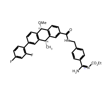 CCOC(=O)/N=C(/N)c1ccc(CNC(=O)c2ccc3c(c2)[C@H](C)c2cc(-c4ccc(F)cc4F)ccc2[C@@H]3OC)cc1